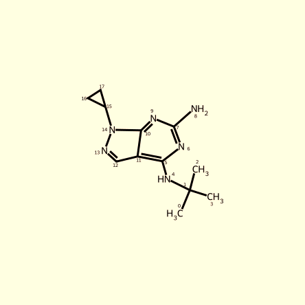 CC(C)(C)Nc1nc(N)nc2c1cnn2C1CC1